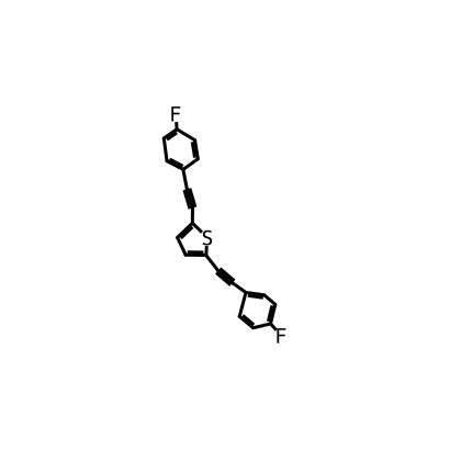 Fc1ccc(C#Cc2ccc(C#Cc3ccc(F)cc3)s2)cc1